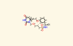 CC[C@@H](NS(=O)(=O)CCCOCn1ccc(=O)[nH]c1=O)c1cccc(OCC2CC2)c1